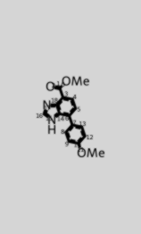 COC(=O)c1ccc(-c2ccc(OC)cc2)c2[nH]cnc12